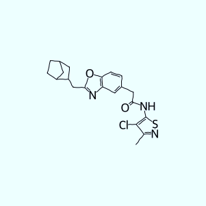 Cc1nsc(NC(=O)Cc2ccc3oc(CC4CC5CCC4C5)nc3c2)c1Cl